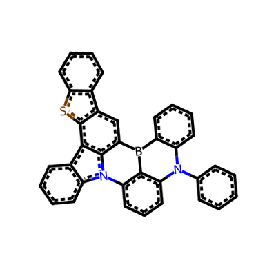 c1ccc(N2c3ccccc3B3c4c2cccc4-n2c4ccccc4c4c5sc6ccccc6c5cc3c42)cc1